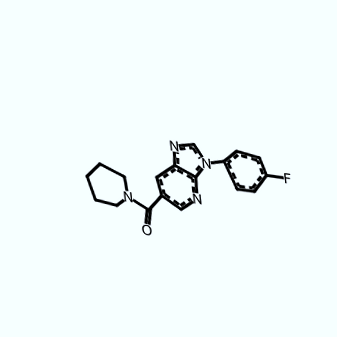 O=C(c1cnc2c(c1)ncn2-c1ccc(F)cc1)N1CCCCC1